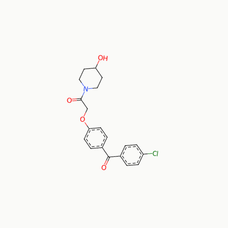 O=C(c1ccc(Cl)cc1)c1ccc(OCC(=O)N2CCC(O)CC2)cc1